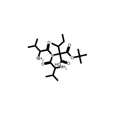 CCC(C)C(C(=O)O)(C(=O)OC(C)(C)C)N(C(=O)C(N)C(C)C)C(=O)C(N)C(C)C